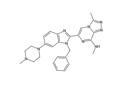 CNc1nc(-c2nc3ccc(N4CCN(C)CC4)cc3n2Cc2ccccc2)cn2c(C)nnc12